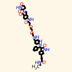 CCNC(=O)C#Cc1ccc2c(c1)NC(=O)/C2=C(\Nc1ccc(CNCCOCCOCCC(=O)Nc2ccc3c(c2)CN(C2CCC(=O)NC2=O)C3=O)cc1)c1ccccc1